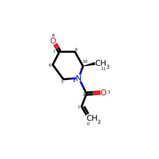 C=CC(=O)N1CCC(=O)C[C@H]1C